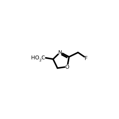 O=C(O)C1COC(CF)=N1